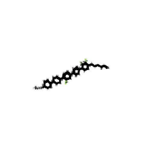 C=CCCCCc1ccc(-c2ccc(-c3ccc(C4=CCC(C5CCC(CCCCC)CC5)CC4)c(F)c3)cc2)c(F)c1F